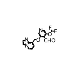 O=Cc1c(OCc2cccn3ccnc23)cncc1OC(F)F